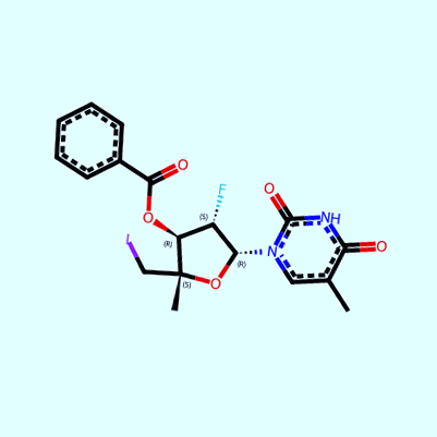 Cc1cn([C@@H]2O[C@](C)(CI)[C@@H](OC(=O)c3ccccc3)[C@@H]2F)c(=O)[nH]c1=O